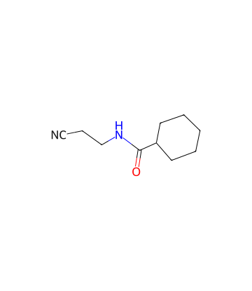 N#CCCNC(=O)C1CCCCC1